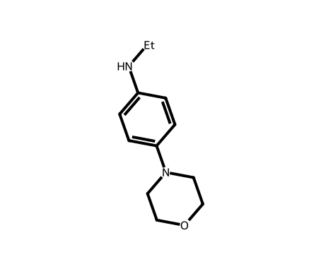 CCNc1ccc(N2CCOCC2)cc1